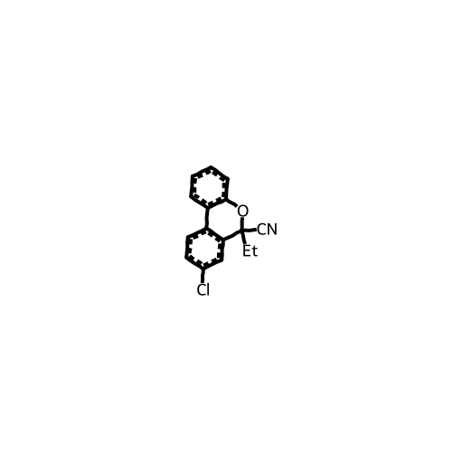 CCC1(C#N)Oc2ccccc2-c2ccc(Cl)cc21